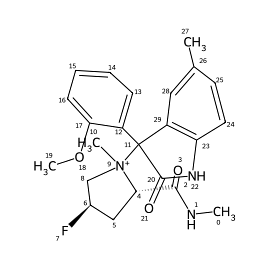 CNC(=O)[C@@H]1C[C@@H](F)C[N+]1(C)C1(c2ccccc2OC)C(=O)Nc2ccc(C)cc21